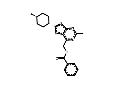 Cc1nc(COC(=O)c2ccccc2)c2nc([C@H]3CC[C@H](C)CC3)sc2n1